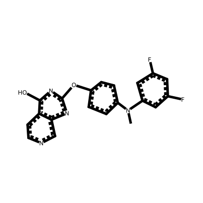 CN(c1ccc(Oc2nc(O)c3ccncc3n2)cc1)c1cc(F)cc(F)c1